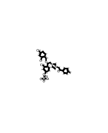 O=C(C[n+]1ccn(CC(OCc2ccc(Cl)cc2Cl)c2ccc(Cl)cc2Cl)c1)c1ccc(F)cc1.O=S(=O)([O-])O